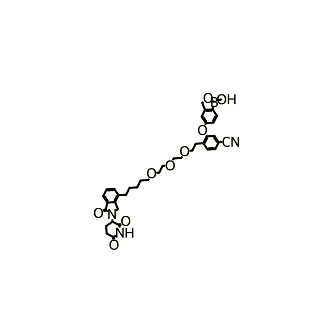 N#Cc1ccc(CCOCCOCCOCCCCCc2cccc3c2CN(C2CCC(=O)NC2=O)C3=O)c(Oc2ccc3c(c2)COB3O)c1